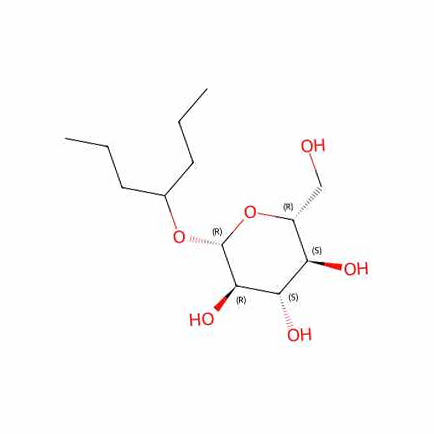 CCCC(CCC)O[C@@H]1O[C@H](CO)[C@@H](O)[C@H](O)[C@H]1O